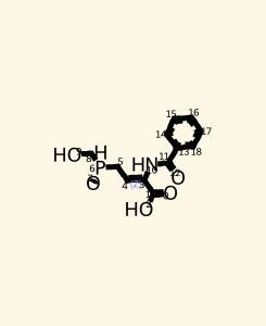 O=C(O)/C(=C/C[PH](=O)CO)NC(=O)c1ccccc1